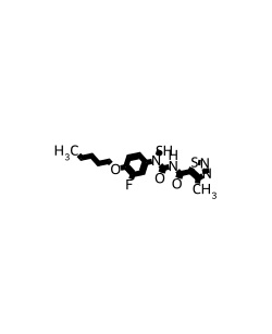 CCCCCOc1ccc(N(S)C(=O)NC(=O)c2snnc2C)cc1F